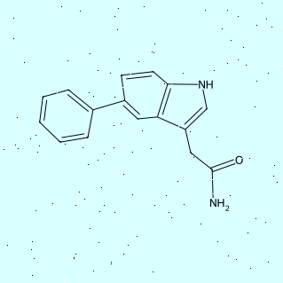 NC(=O)Cc1c[nH]c2ccc(-c3ccccc3)cc12